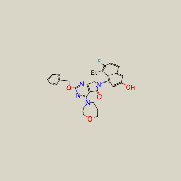 CCc1c(F)ccc2cc(O)cc(N3Cc4nc(OCc5ccccc5)nc(N5CCCOCC5)c4C3=O)c12